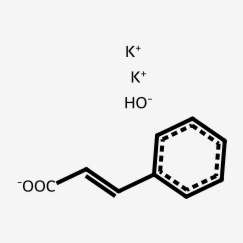 O=C([O-])C=Cc1ccccc1.[K+].[K+].[OH-]